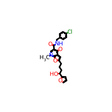 Cn1cc(C(=O)NCc2ccc(Cl)cc2)c(=O)c2cc(CCCC(O)c3ccco3)oc21